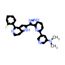 CN(C)c1cncc(-c2ccc3[nH]nc(-c4cc5c(-c6ccccc6F)nccc5[nH]4)c3n2)c1